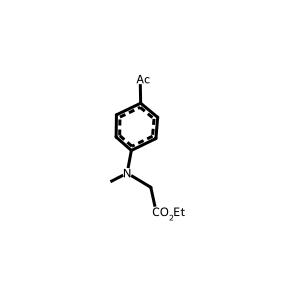 CCOC(=O)CN(C)c1ccc(C(C)=O)cc1